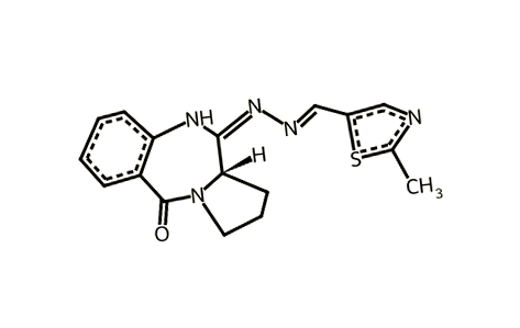 Cc1ncc(C=N/N=C2/Nc3ccccc3C(=O)N3CCC[C@@H]23)s1